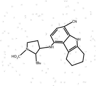 CC(C)(C)C1C(Nc2ccc(C#N)c3[nH]c4c(c23)CCCC4)CCN1C(=O)O